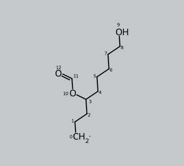 [CH2]CCC(CCCCCO)OC=O